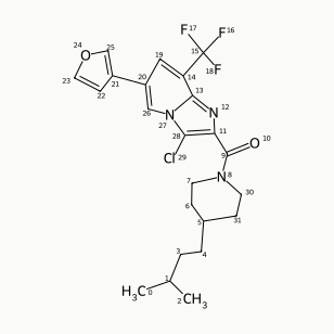 CC(C)CCC1CCN(C(=O)c2nc3c(C(F)(F)F)cc(-c4ccoc4)cn3c2Cl)CC1